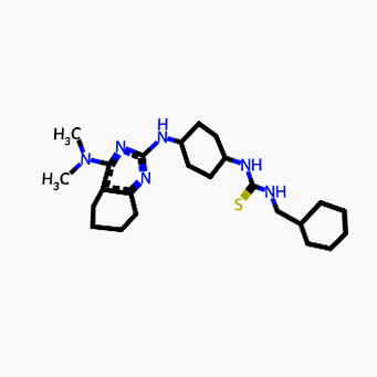 CN(C)c1nc(NC2CCC(NC(=S)NCC3CCCCC3)CC2)nc2c1CCCC2